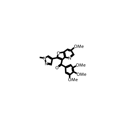 COc1cnc2c(C(=O)c3cc(OC)c(OC)c(OC)c3)c(-c3cnn(C)c3)oc2c1